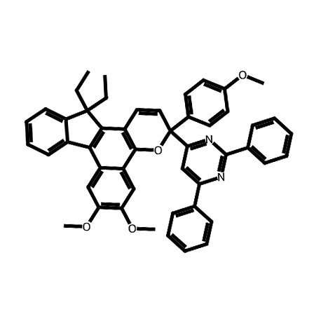 CCC1(CC)c2ccccc2-c2c1c1c(c3cc(OC)c(OC)cc23)OC(c2ccc(OC)cc2)(c2cc(-c3ccccc3)nc(-c3ccccc3)n2)C=C1